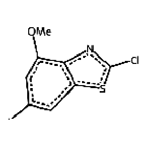 [CH2]c1cc(OC)c2nc(Cl)sc2c1